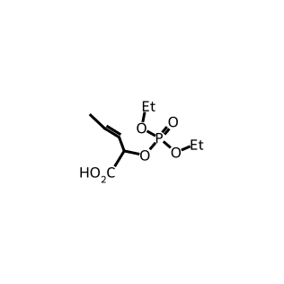 CC=CC(OP(=O)(OCC)OCC)C(=O)O